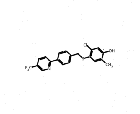 Cc1cc(SCc2ccc(-c3ccc(C(F)(F)F)cn3)cc2)c(Cl)cc1O